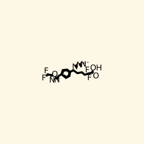 [N-]=[N+]=NC(CCCC(F)(F)C(=O)O)c1ccc(-c2nnc(C(F)F)o2)cc1